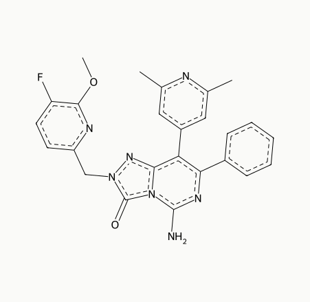 COc1nc(Cn2nc3c(-c4cc(C)nc(C)c4)c(-c4ccccc4)nc(N)n3c2=O)ccc1F